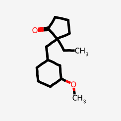 CCC1(CC2CCCC(OC)C2)CCCC1=O